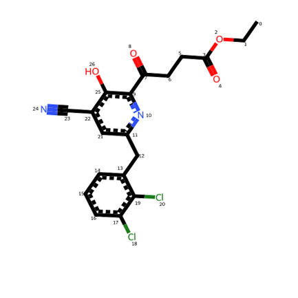 CCOC(=O)CCC(=O)c1nc(Cc2cccc(Cl)c2Cl)cc(C#N)c1O